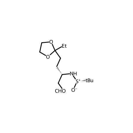 CCC1(CC[C@@H](CC=O)N[S@@+]([O-])C(C)(C)C)OCCO1